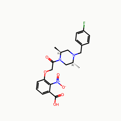 C[C@@H]1CN(C(=O)COc2cccc(C(=O)O)c2[N+](=O)[O-])[C@@H](C)CN1Cc1ccc(F)cc1